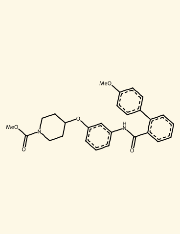 COC(=O)N1CCC(Oc2cccc(NC(=O)c3ccccc3-c3ccc(OC)cc3)c2)CC1